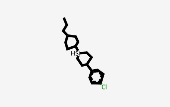 CCCC1CCC([SiH]2CCC(c3ccc(Cl)cc3)CC2)CC1